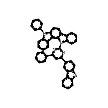 c1ccc(-c2cc(-c3ccc4sc5ccccc5c4c3)nc(-n3c4ccccc4c4ccc5c(c6ccccc6n5-c5ccccc5)c43)n2)cc1